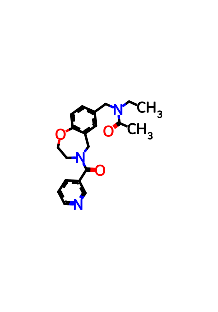 CCN(Cc1ccc2c(c1)CN(C(=O)c1cccnc1)CCO2)C(C)=O